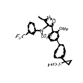 CCOC(=O)N(c1cccc(C(F)(F)F)c1)c1c(C)noc1-c1ccc(-c2ccc(C3(C(=O)O)CC3)cc2)cc1OC